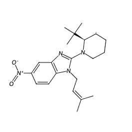 CC(C)=CCn1c(N2CCC[CH][C@@H]2C(C)(C)C)nc2cc([N+](=O)[O-])ccc21